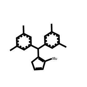 Cc1cc(C)cc(C(C2=C(C(C)(C)C)C=CC2)c2cc(C)cc(C)c2)c1